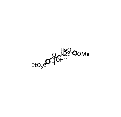 CCOC(=O)c1ccc(CNC(=O)C(O)CCNC(=O)[C@@H]2O[C@H](c3ccc(OC)cc3)OCC2(C)C)cc1